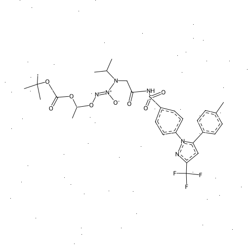 Cc1ccc(-c2cc(C(F)(F)F)nn2-c2ccc(S(=O)(=O)NC(=O)CN(C(C)C)[N+]([O-])=NOC(C)OC(=O)OC(C)(C)C)cc2)cc1